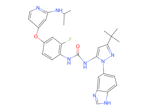 CC(C)Nc1cc(Oc2ccc(NC(=O)Nc3cc(C(C)(C)C)nn3-c3ccc4[nH]cnc4c3)c(F)c2)ccn1